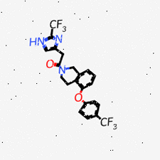 O=C(Cc1c[nH]c(C(F)(F)F)n1)N1CCc2c(cccc2Oc2ccc(C(F)(F)F)cc2)C1